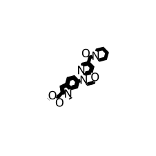 COC(=O)c1cc2ccc(N3CCOc4cc(C(=O)N5CCCCC5)cnc43)cc2n1C